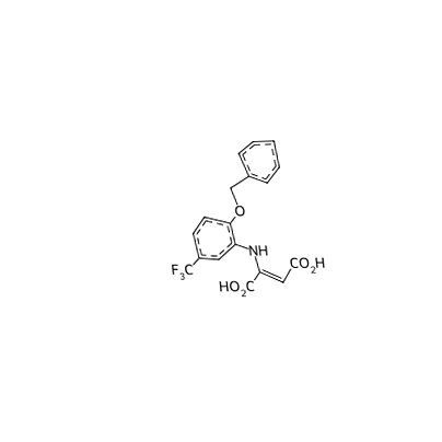 O=C(O)/C=C(\Nc1cc(C(F)(F)F)ccc1OCc1ccccc1)C(=O)O